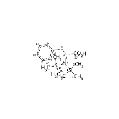 C[Si](C)(C)N([C@H](Cc1ccccc1)C(=O)O)[Si](C)(C)C